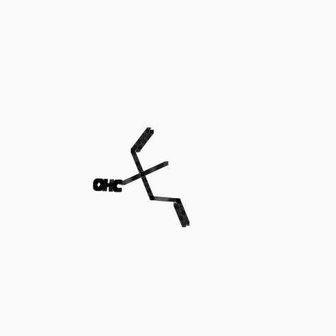 C=CCC(C)(C=C)C=O